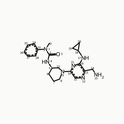 CN(C(=O)N[C@@H]1CCCN(c2cnc(CN)c(NC3CC3)n2)C1)c1ccccc1